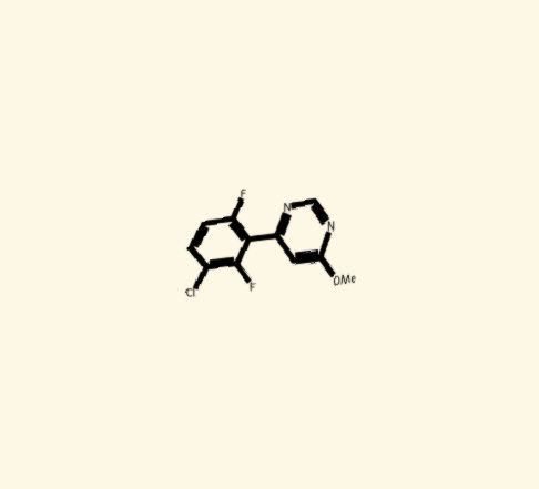 COc1cc(-c2c(F)ccc(Cl)c2F)ncn1